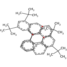 CC(C)(C)c1cc(-c2ccccc2N(c2cc(C(C)(C)C)cc(C(C)(C)C)c2)c2ccccc2-c2cccc3cccc(-c4ccccc4)c23)cc(C(C)(C)C)c1